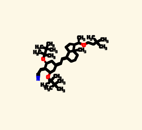 C[C@@H](OCCC(C)(C)C)C1CCC2/C(=C/C=C3C[C@@H](O[Si](C)(C)C(C)(C)C)C(=CC#N)[C@H](O[Si](C)(C)C(C)(C)C)C3)CCCC21C